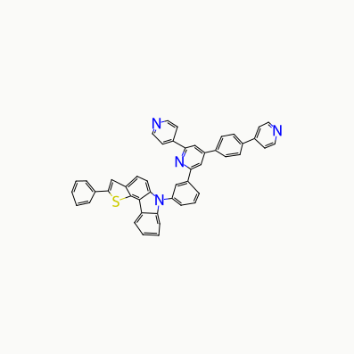 c1ccc(-c2cc3ccc4c(c5ccccc5n4-c4cccc(-c5cc(-c6ccc(-c7ccncc7)cc6)cc(-c6ccncc6)n5)c4)c3s2)cc1